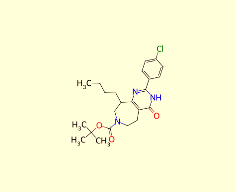 CCCCC1CN(C(=O)OC(C)(C)C)CCc2c1nc(-c1ccc(Cl)cc1)[nH]c2=O